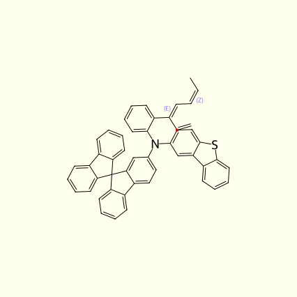 C=C/C(=C\C=C/C)c1ccccc1N(c1ccc2c(c1)C1(c3ccccc3-c3ccccc31)c1ccccc1-2)c1ccc2sc3ccccc3c2c1